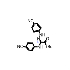 CC(C)(C)C(=O)/C(=N\Nc1ccc(C#N)cc1)Nc1ccc(C#N)cc1